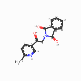 Cc1ccc(C(=O)CN2C(=O)c3ccccc3C2=O)cn1